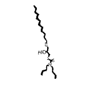 CCCCCCCCCCCCOCC(O)CSC(=S)N(CCCC)CCCC